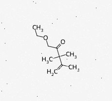 C=C(C)C(C)(C)C(=O)COCC